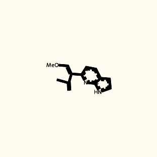 C=C(C)/C(=C\OC)c1ccc2cc[nH]c2n1